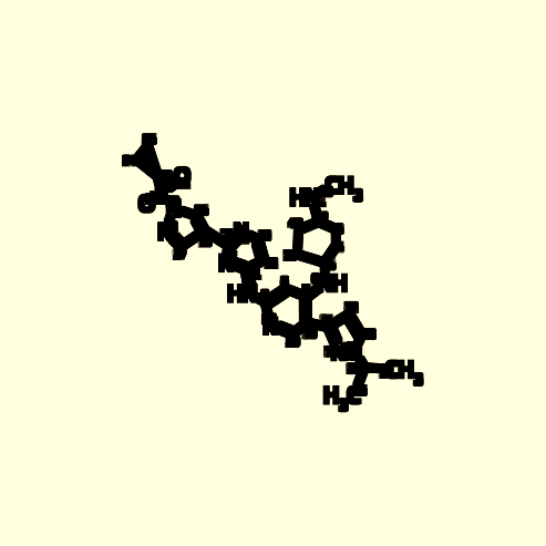 CNC1CCC(Nc2cc(Nc3ccnc(-c4cnn(S(=O)(=O)C5CC5)c4)n3)ncc2-c2ccn(C(C)C)n2)CC1